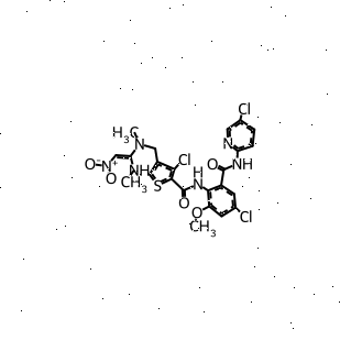 CNC(=C[N+](=O)[O-])N(C)Cc1csc(C(=O)Nc2c(OC)cc(Cl)cc2C(=O)Nc2ccc(Cl)cn2)c1Cl